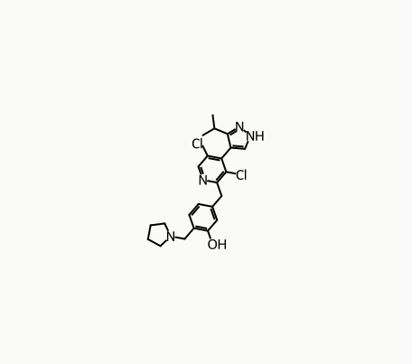 CC(C)c1n[nH]cc1-c1c(Cl)cnc(Cc2ccc(CN3CCCC3)c(O)c2)c1Cl